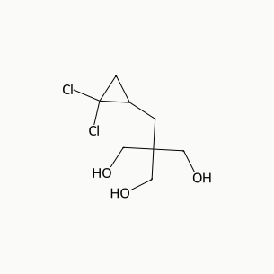 OCC(CO)(CO)CC1CC1(Cl)Cl